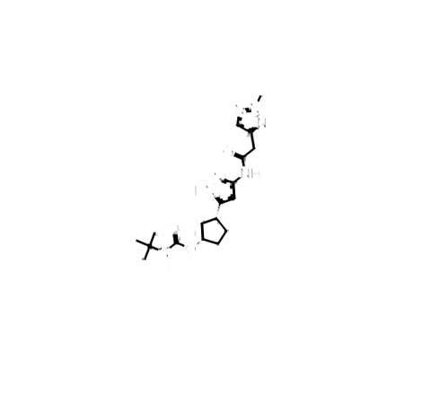 Cn1ncc(CC(=O)Nc2cc([C@H]3CC[C@@H](OC(=O)NC(C)(C)C)C3)[nH]n2)n1